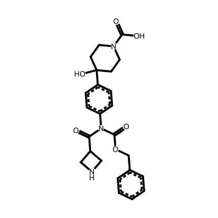 O=C(O)N1CCC(O)(c2ccc(N(C(=O)OCc3ccccc3)C(=O)C3CNC3)cc2)CC1